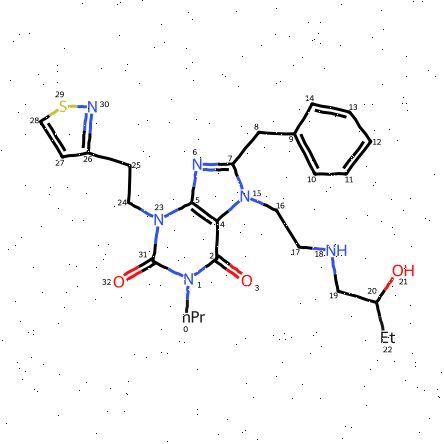 CCCn1c(=O)c2c(nc(Cc3ccccc3)n2CCNCC(O)CC)n(CCc2ccsn2)c1=O